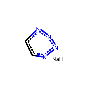 [NaH].c1cnnnn1